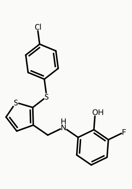 Oc1c(F)cccc1NCc1ccsc1Sc1ccc(Cl)cc1